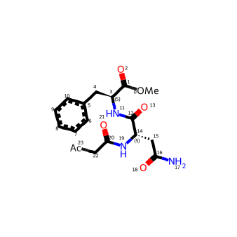 COC(=O)[C@H](Cc1ccccc1)NC(=O)[C@H](CC(N)=O)NC(=O)CC(C)=O